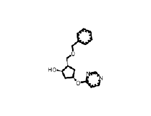 O[C@@H]1C[C@H](Oc2ccncn2)C[C@@H]1COCc1ccccc1